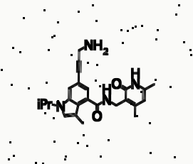 Cc1cc(C)c(CNC(=O)c2cc(C#CCN)cc3c2c(C)cn3C(C)C)c(=O)[nH]1